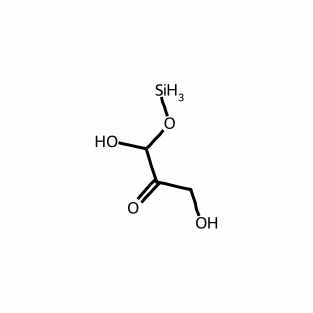 O=C(CO)C(O)O[SiH3]